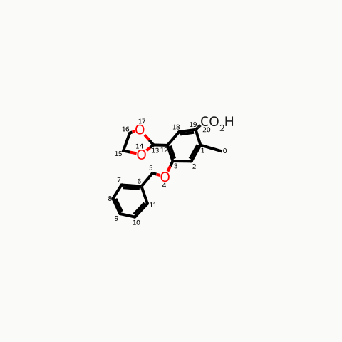 Cc1cc(OCc2ccccc2)c(C2OCCO2)cc1C(=O)O